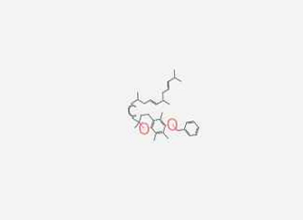 Cc1c(C)c2c(c(C)c1OCc1ccccc1)CCC(C)(C=C=CC(C)CC=CC(C)CC=CC(C)C)O2